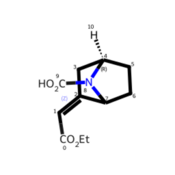 CCOC(=O)/C=C1/C[C@H]2CCC1N2C(=O)O